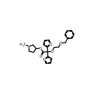 CN1CCC(OC(=O)C(OCCOCc2ccccc2)(c2ccco2)c2ccco2)C1